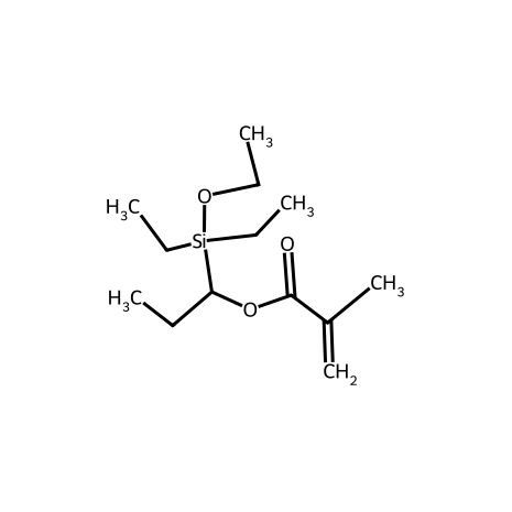 C=C(C)C(=O)OC(CC)[Si](CC)(CC)OCC